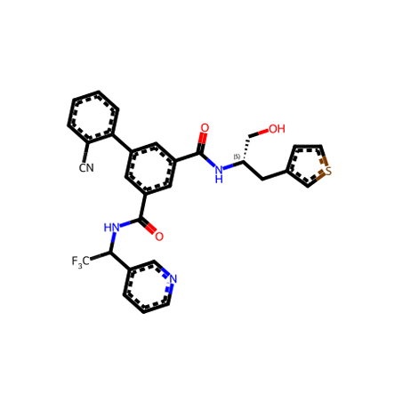 N#Cc1ccccc1-c1cc(C(=O)NC(c2cccnc2)C(F)(F)F)cc(C(=O)N[C@H](CO)Cc2ccsc2)c1